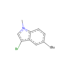 Cn1cc(Br)c2cc(C(C)(C)C)ccc21